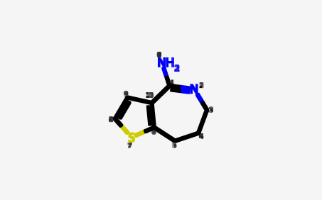 NC1=NCCCc2sccc21